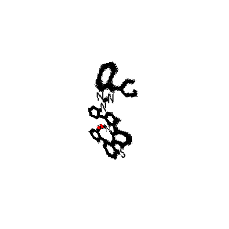 C/C=C\C(=C/C)c1nc(-n2c3ccccc3c3c2ccc2c4ccc5sc6cccc7c8ccccc8c8ccccc8n(c4c5c67)c23)nc2ccccc12